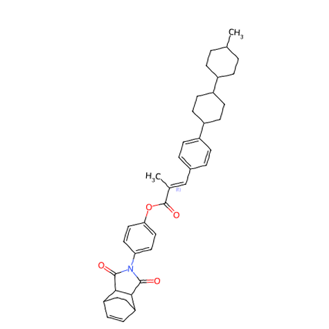 C/C(=C\c1ccc(C2CCC(C3CCC(C)CC3)CC2)cc1)C(=O)Oc1ccc(N2C(=O)C3C4C=CC(CC4)C3C2=O)cc1